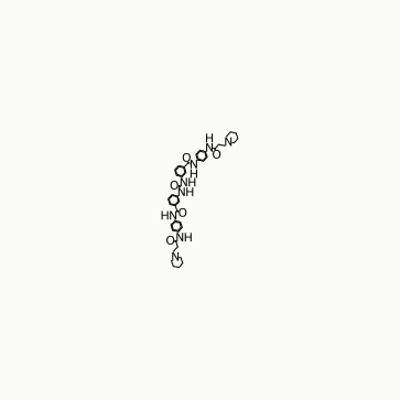 O=C(CCN1CCCCC1)Nc1ccc(NC(=O)c2cccc(NC(=O)Nc3cccc(C(=O)Nc4ccc(NC(=O)CCN5CCCCC5)cc4)c3)c2)cc1